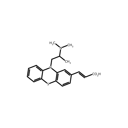 CC(CN1c2ccccc2Sc2ccc(C=CC(=O)O)cc21)N(C)C